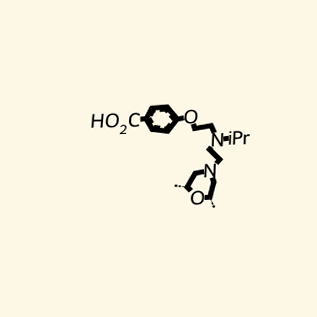 CC(C)N(CCOc1ccc(C(=O)O)cc1)CCN1C[C@@H](C)O[C@@H](C)C1